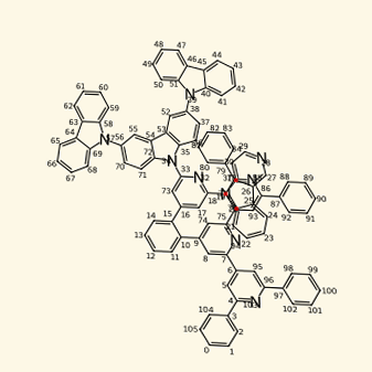 c1ccc(-c2cc(-c3cc(-c4ccccc4-c4cc(-n5c6ccccc6c6cnccc65)nc(-n5c6ccc(-n7c8ccccc8c8ccccc87)cc6c6cc(-n7c8ccccc8c8ccccc87)ccc65)c4)cc(-c4cc(-c5ccccc5)nc(-c5ccccc5)c4)n3)cc(-c3ccccc3)n2)cc1